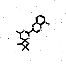 CC1CC2(CC(C)(C)C2C)OC(c2cnc3c(F)cccc3c2)=N1